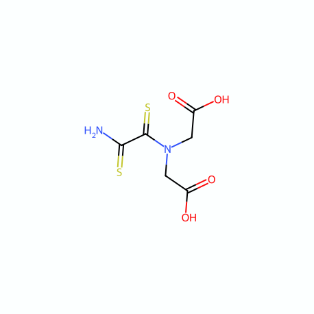 NC(=S)C(=S)N(CC(=O)O)CC(=O)O